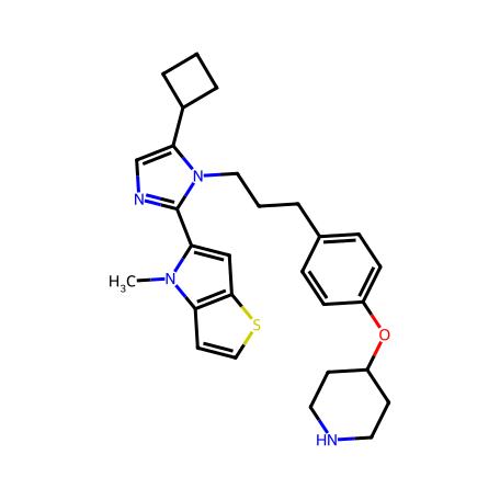 Cn1c(-c2ncc(C3CCC3)n2CCCc2ccc(OC3CCNCC3)cc2)cc2sccc21